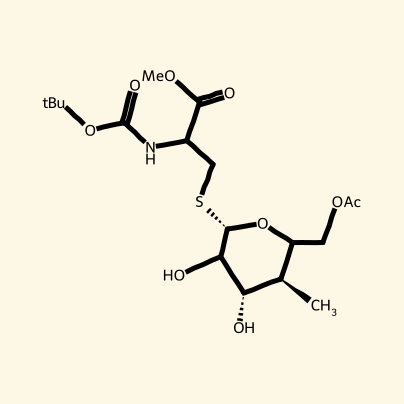 COC(=O)C(CS[C@@H]1OC(COC(C)=O)[C@@H](C)[C@H](O)C1O)NC(=O)OC(C)(C)C